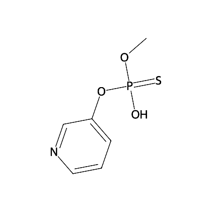 COP(O)(=S)Oc1cccnc1